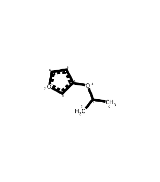 CC(C)Oc1ccoc1